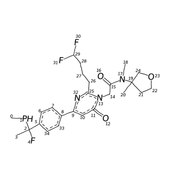 CPC(C)(F)c1ccc(-c2cc(=O)n(CC(=O)N(C)C3(C)CCOC3)c(CCCC(F)F)n2)cc1